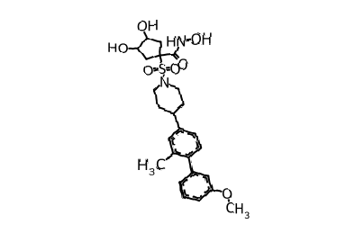 COc1cccc(-c2ccc(C3CCN(S(=O)(=O)C4(C(=O)NO)CC(O)C(O)C4)CC3)cc2C)c1